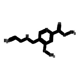 C=CCNCc1cnc(C(=O)OC)cc1OC